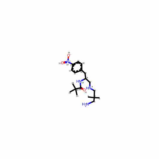 CC(C)(CN)CNCC(Cc1ccc([N+](=O)[O-])cc1)NC(=O)C(C)(C)C